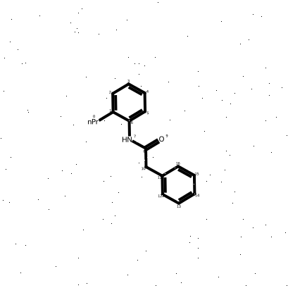 [CH2]CCc1ccccc1NC(=O)Cc1ccccc1